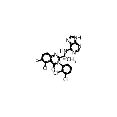 C[C@@H](Nc1ncnc2[nH]cnc12)c1nc2ccc(F)c(Cl)c2c(=O)n1-c1cccc(Cl)c1Cl